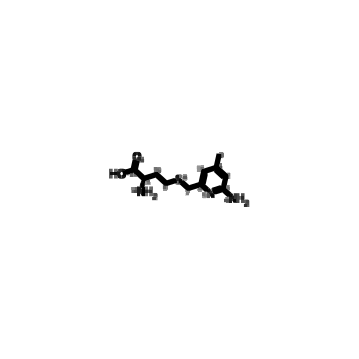 Cc1cc(N)nc(CSCC[C@@H](N)C(=O)O)c1